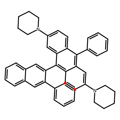 c1ccc(-c2cc3ccccc3cc2-c2c3ccc(N4CCCCC4)cc3c(-c3ccccc3)c3ccc(N4CCCCC4)cc23)cc1